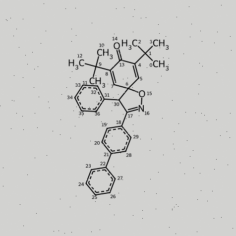 CC(C)(C)C1=CC2(C=C(C(C)(C)C)C1=O)ON=C(c1ccc(-c3ccccc3)cc1)C2c1ccccc1